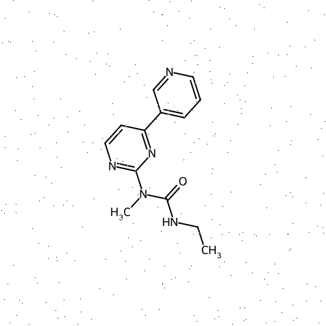 CCNC(=O)N(C)c1nccc(-c2cccnc2)n1